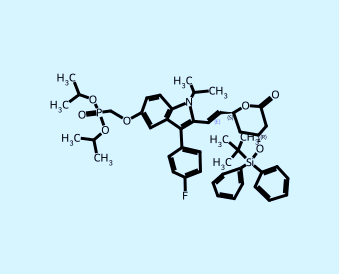 CC(C)OP(=O)(COc1ccc2c(c1)c(-c1ccc(F)cc1)c(/C=C/[C@@H]1C[C@@H](O[Si](c3ccccc3)(c3ccccc3)C(C)(C)C)CC(=O)O1)n2C(C)C)OC(C)C